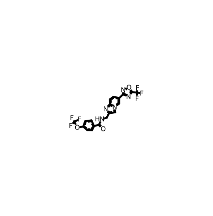 O=C(NCc1cn2cc(-c3noc(C(F)(F)F)n3)ccc2n1)c1ccc(OC(F)(F)F)cc1